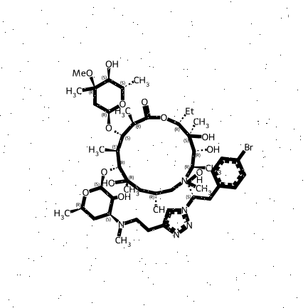 CC[C@H]1OC(=O)[C@H](C)[C@@H](O[C@H]2C[C@@](C)(OC)[C@@H](O)[C@H](C)O2)[C@H](C)[C@@H](O[C@@H]2O[C@H](C)C[C@H](N(C)CCc3cn([C@H](CO)Cc4ccc(Br)cc4)nn3)C2O)[C@](C)(O)C[C@@H](C)CN(C)[C@H](C)[C@@H](O)[C@]1(C)O